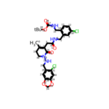 CC1=C(CC(=O)NCc2cc(Cl)ccc2CNC(=O)OC(C)(C)C)C(=O)N(NCc2cc3c(cc2Cl)OCO3)CC1